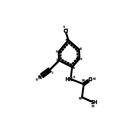 N#Cc1cc(Cl)ccc1NC(=O)CS